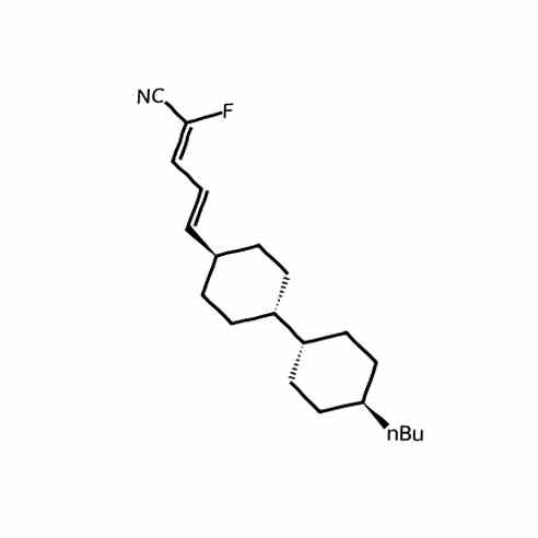 CCCC[C@H]1CC[C@H]([C@H]2CC[C@H](C=CC=C(F)C#N)CC2)CC1